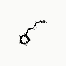 CCCCCOCc1ccsc1